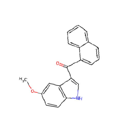 COc1ccc2[nH]cc(C(=O)c3cccc4ccccc34)c2c1